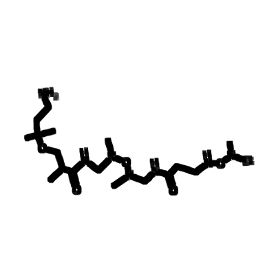 CCN(C)ONCCC(=O)NCN(C)ON(C)CNC(=O)C(C)COC(C)(C)CCN